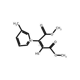 COC(=O)/C(S)=C(\C(=O)OC)[n+]1cccc(C)c1